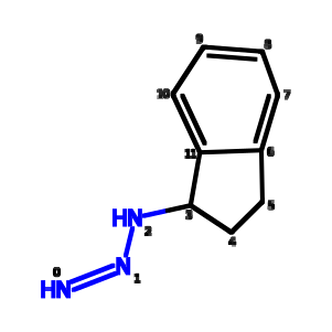 N=NNC1CCc2ccccc21